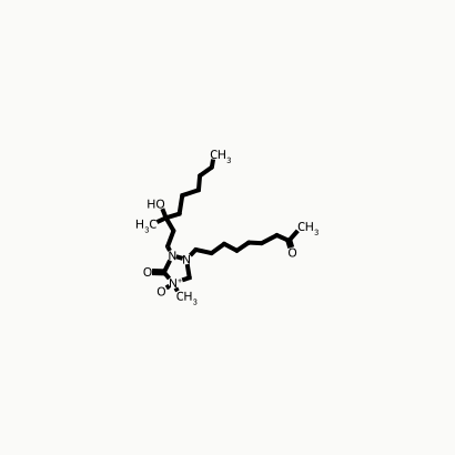 CCCCCCC(C)(O)CCN1C(=O)[N+](C)([O-])CN1CCCCCCCC(C)=O